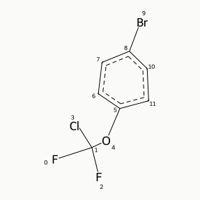 FC(F)(Cl)Oc1ccc(Br)cc1